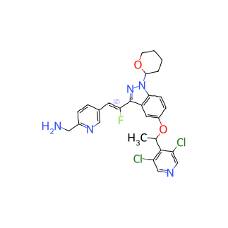 CC(Oc1ccc2c(c1)c(/C(F)=C/c1ccc(CN)nc1)nn2C1CCCCO1)c1c(Cl)cncc1Cl